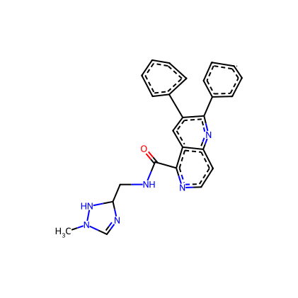 CN1C=NC(CNC(=O)c2nccc3nc(-c4cc[c]cc4)c(-c4ccccc4)cc23)N1